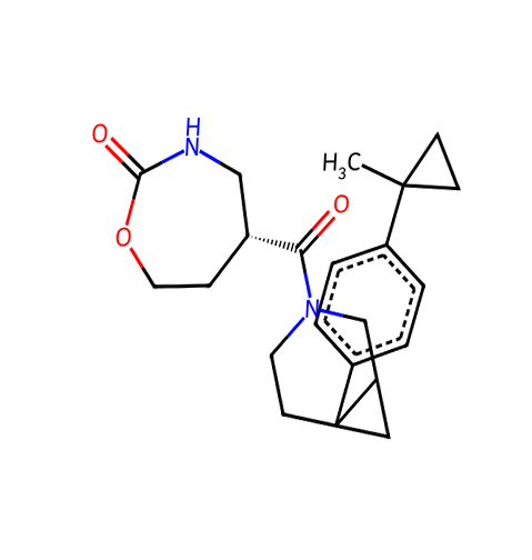 CC1(c2ccc(C34CCN(C(=O)[C@@H]5CCOC(=O)NC5)CC3C4)cc2)CC1